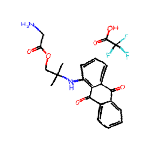 CC(C)(COC(=O)CN)Nc1cccc2c1C(=O)c1ccccc1C2=O.O=C(O)C(F)(F)F